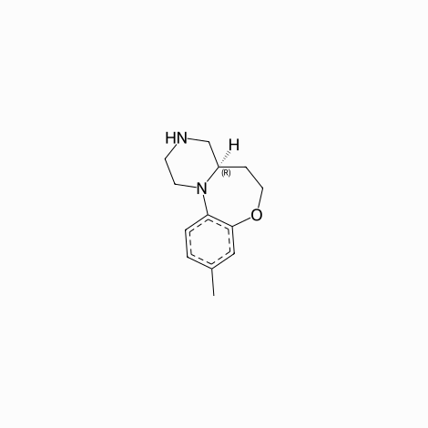 Cc1ccc2c(c1)OCC[C@@H]1CNCCN21